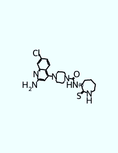 Nc1cc(N2CCN(C(=O)N[C@@H]3CCCCNC3=S)CC2)c2ccc(Cl)cc2n1